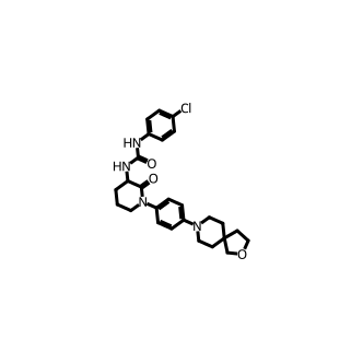 O=C(Nc1ccc(Cl)cc1)NC1CCCN(c2ccc(N3CCC4(CCOC4)CC3)cc2)C1=O